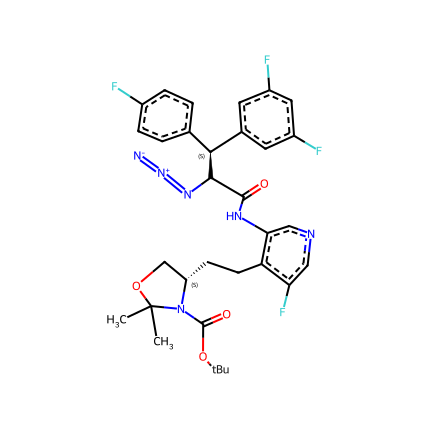 CC(C)(C)OC(=O)N1[C@@H](CCc2c(F)cncc2NC(=O)C(N=[N+]=[N-])[C@@H](c2ccc(F)cc2)c2cc(F)cc(F)c2)COC1(C)C